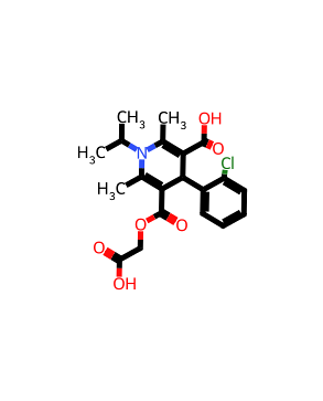 CC1=C(C(=O)O)C(c2ccccc2Cl)C(C(=O)OCC(=O)O)=C(C)N1C(C)C